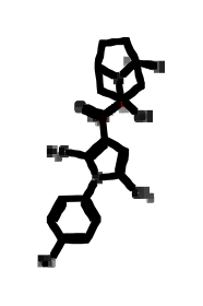 Cc1cc(C(=O)CN2C3CC[C@@H]2C[C@@](C)(O)C3)c(C)n1-c1ccc(C#N)cc1